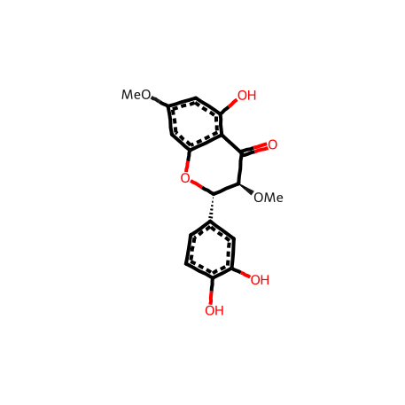 COc1cc(O)c2c(c1)O[C@@H](c1ccc(O)c(O)c1)[C@H](OC)C2=O